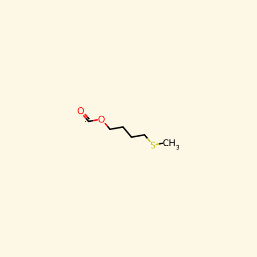 CSCCCCO[C]=O